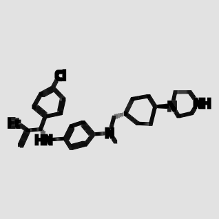 C=C(CC)[C@@H](Nc1ccc(N(C)C[C@H]2CC[C@H](N3CCNCC3)CC2)cc1)c1ccc(Cl)cc1